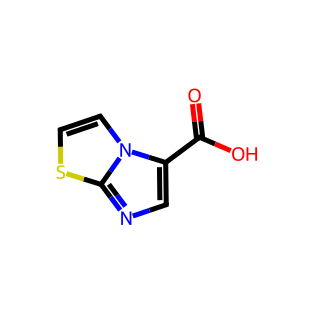 O=C(O)c1cnc2sccn12